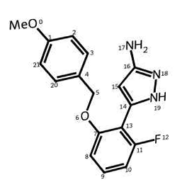 COc1ccc(COc2cccc(F)c2-c2cc(N)n[nH]2)cc1